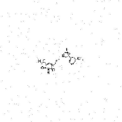 Cc1cn(CCCCN2C[C@H]3CC3(c3cccc(C(F)(F)F)c3)C2)c(=O)[nH]c1=O